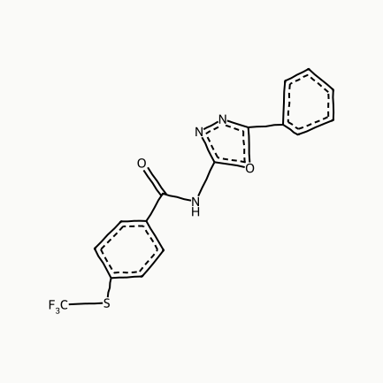 O=C(Nc1nnc(-c2ccccc2)o1)c1ccc(SC(F)(F)F)cc1